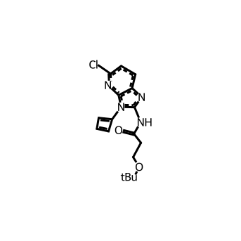 CC(C)(C)OCCC(=O)Nc1nc2ccc(Cl)nc2n1C1=CC=C1